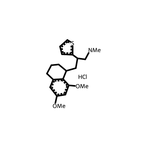 CNCC(CC1CCCc2cc(OC)cc(OC)c21)c1cccs1.Cl